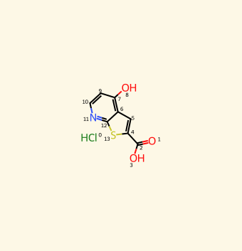 Cl.O=C(O)c1cc2c(O)ccnc2s1